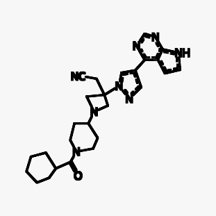 N#CCC1(n2cc(-c3ncnc4[nH]ccc34)cn2)CN(C2CCN(C(=O)C3CCCCC3)CC2)C1